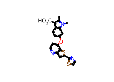 Cc1c(C(=O)O)c2ccc(Oc3ccnc4cc(-c5nccs5)sc34)cc2n1C